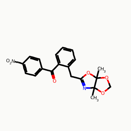 CC12N=C(Cc3ccccc3C(=O)c3ccc([N+](=O)[O-])cc3)OC1(C)OCO2